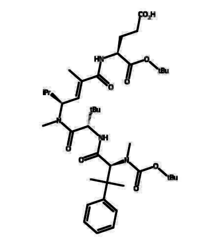 C/C(=C\[C@H](C(C)C)N(C)C(=O)[C@@H](NC(=O)[C@@H](N(C)C(=O)OC(C)(C)C)C(C)(C)c1ccccc1)C(C)(C)C)C(=O)N[C@@H](CCC(=O)O)C(=O)OC(C)(C)C